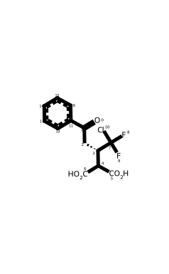 O=C(C[C@@H](C(C(=O)O)C(=O)O)C(F)(F)Cl)c1ccccc1